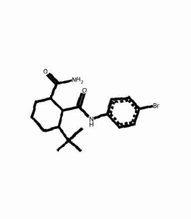 CC(C)(C)C1CCCC(C(N)=O)C1C(=O)Nc1ccc(Br)cc1